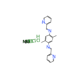 Cc1cc(N=Cc2ccccn2)c(C)cc1N=Cc1ccccn1.Cl.Cl.Cl.Cl.[Ni].[Ni]